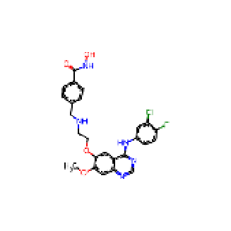 COc1cc2ncnc(Nc3ccc(F)c(Cl)c3)c2cc1OCCNCc1ccc(C(=O)NO)cc1